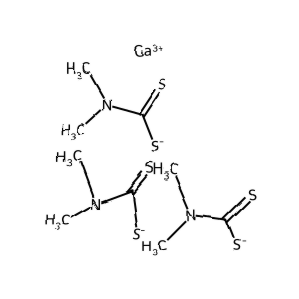 CN(C)C(=S)[S-].CN(C)C(=S)[S-].CN(C)C(=S)[S-].[Ga+3]